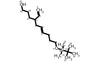 C=CC(C/C=C/CCCO[Si](C)(C)C(C)(C)C)CCCO